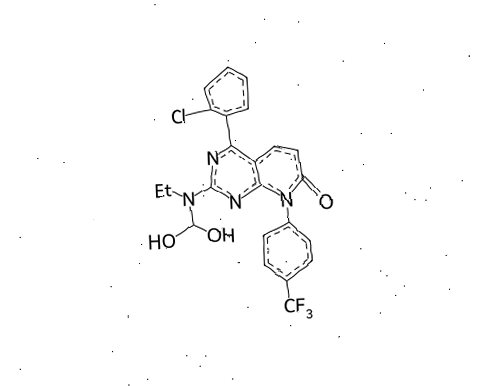 CCN(c1nc(-c2ccccc2Cl)c2ccc(=O)n(-c3ccc(C(F)(F)F)cc3)c2n1)C(O)O